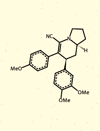 COc1ccc(C2=C(C#N)N3CCC[C@H]3C[C@H]2c2ccc(OC)c(OC)c2)cc1